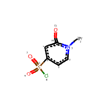 CC(C)n1ccc(S(=O)(=O)Cl)cc1=O